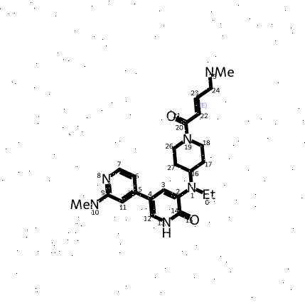 CCN(c1cc(-c2ccnc(NC)c2)c[nH]c1=O)C1CCN(C(=O)/C=C/CNC)CC1